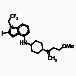 COCCN(C)[C@H]1CC[C@@H](Nc2cccc3c2cc(I)n3CC(F)(F)F)CC1